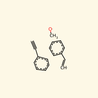 C[O].[CH]=Cc1ccccc1.[C]#Cc1ccccc1